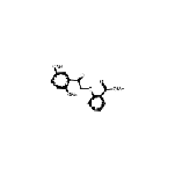 COC(=O)c1ccccc1OCC(=O)c1cc(OC)ccc1OC